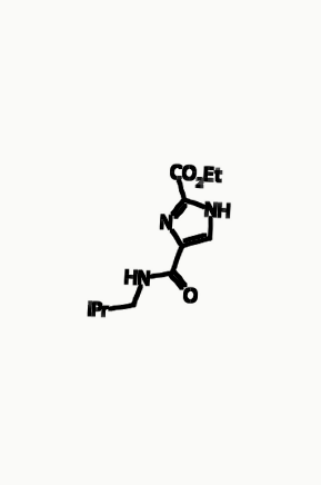 CCOC(=O)c1nc(C(=O)NCC(C)C)c[nH]1